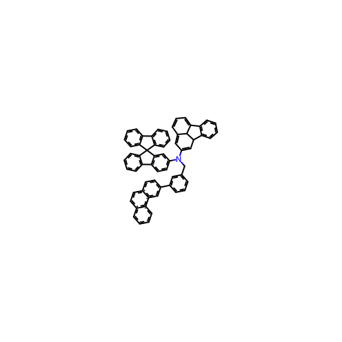 C1=CC2=CC(N(Cc3cccc(-c4ccc5ccc6ccccc6c5c4)c3)c3ccc4c(c3)C3(c5ccccc5-c5ccccc53)c3ccccc3-4)=CC3c4ccccc4C(=C1)C23